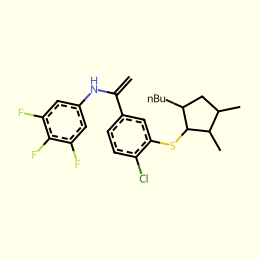 C=C(Nc1cc(F)c(F)c(F)c1)c1ccc(Cl)c(SC2C(CCCC)CC(C)C2C)c1